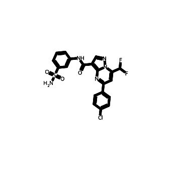 NS(=O)(=O)c1cccc(NC(=O)c2cnn3c(C(F)F)cc(-c4ccc(Cl)cc4)nc23)c1